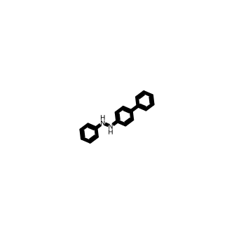 c1ccc(NNc2ccc(-c3ccccc3)cc2)cc1